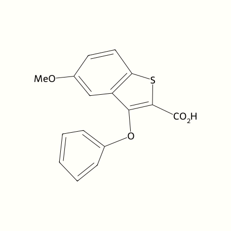 COc1ccc2sc(C(=O)O)c(Oc3ccccc3)c2c1